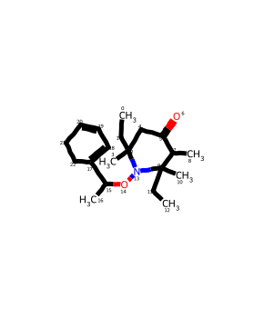 CCC1(C)CC(=O)C(C)C(C)(CC)N1OC(C)C1=CC=CCC1